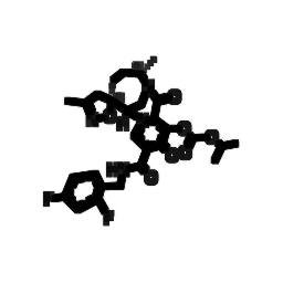 CC1=NO[C@@]2(CC[C@H](C)N3C[C@H]2n2cc(C(=O)NCc4ccc(F)cc4F)c(=O)c(OC(=O)OC(C)C)c2C3=O)C1